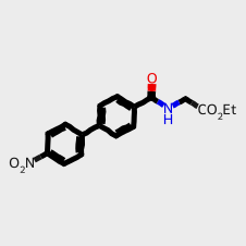 CCOC(=O)CNC(=O)c1ccc(-c2ccc([N+](=O)[O-])cc2)cc1